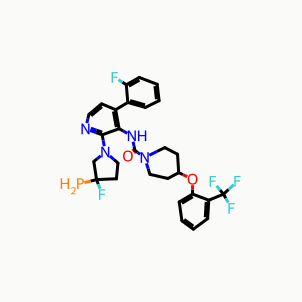 O=C(Nc1c(-c2ccccc2F)ccnc1N1CCC(F)(P)C1)N1CCC(Oc2ccccc2C(F)(F)F)CC1